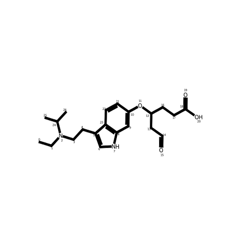 CCN(CCc1c[nH]c2cc(OC(CC=O)CCC(=O)O)ccc12)C(C)C